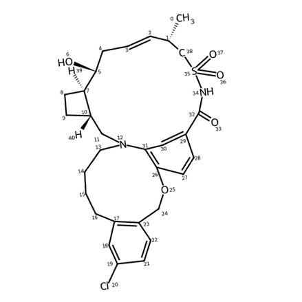 C[C@H]1/C=C/C[C@H](O)[C@@H]2CC[C@H]2CN2CCCCc3cc(Cl)ccc3COc3ccc(cc32)C(=O)NS(=O)(=O)C1